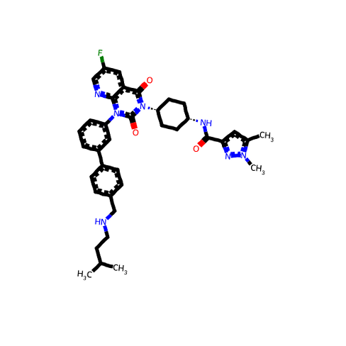 Cc1cc(C(=O)N[C@H]2CC[C@@H](n3c(=O)c4cc(F)cnc4n(-c4cccc(-c5ccc(CNCCC(C)C)cc5)c4)c3=O)CC2)nn1C